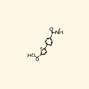 CNC(=O)c1ccc(-c2ccc(C(=O)O)s2)cc1